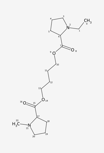 CCN1CCCC1C(=O)OCCCCOC(=O)C1CCCN1C